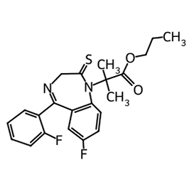 CCCOC(=O)C(C)(C)N1C(=S)CN=C(c2ccccc2F)c2cc(F)ccc21